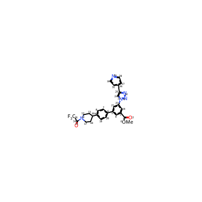 COC(=O)c1cc(-c2ccc(C3CCN(C(=O)C(F)(F)F)CC3)cc2)cc(-n2cc(-c3ccncc3)nn2)c1